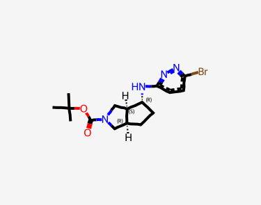 CC(C)(C)OC(=O)N1C[C@@H]2CC[C@@H](Nc3ccc(Br)nn3)[C@@H]2C1